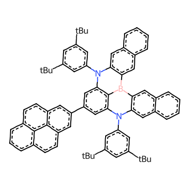 CC(C)(C)c1cc(N2c3cc4ccccc4cc3B3c4cc5ccccc5cc4N(c4cc(C(C)(C)C)cc(C(C)(C)C)c4)c4cc(-c5cc6ccc7cccc8ccc(c5)c6c78)cc2c43)cc(C(C)(C)C)c1